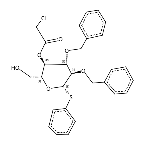 O=C(CCl)O[C@H]1[C@H](OCc2ccccc2)[C@@H](OCc2ccccc2)[C@H](Sc2ccccc2)O[C@@H]1CO